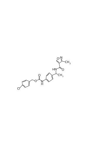 Cc1nocc1C(=O)NC(C)c1ccc(NC(=O)OCc2ccc(Cl)cc2)cc1